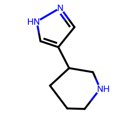 c1n[nH]cc1C1CCCNC1